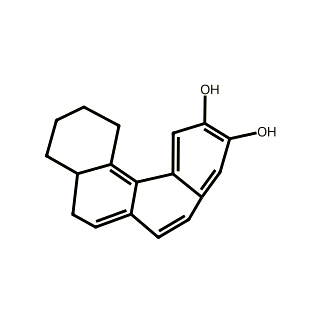 Oc1cc2ccc3c(c2cc1O)=C1CCCCC1CC=3